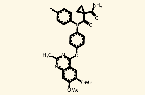 COc1cc2nc(C)nc(Oc3ccc(N(C(=O)C4(C(N)=O)CC4)c4ccc(F)cc4)cc3)c2cc1OC